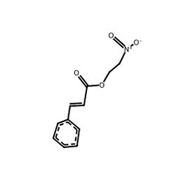 O=C(C=Cc1ccccc1)OCC[N+](=O)[O-]